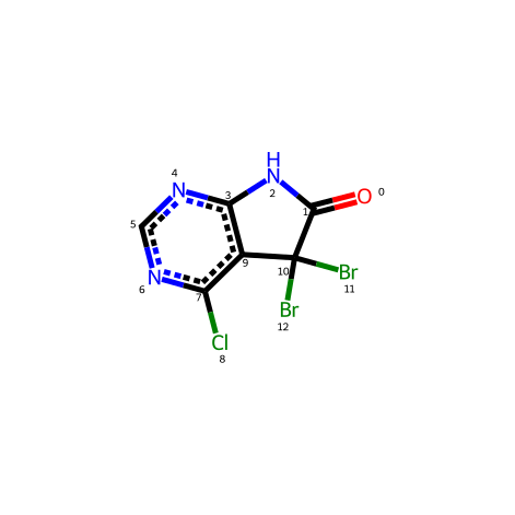 O=C1Nc2ncnc(Cl)c2C1(Br)Br